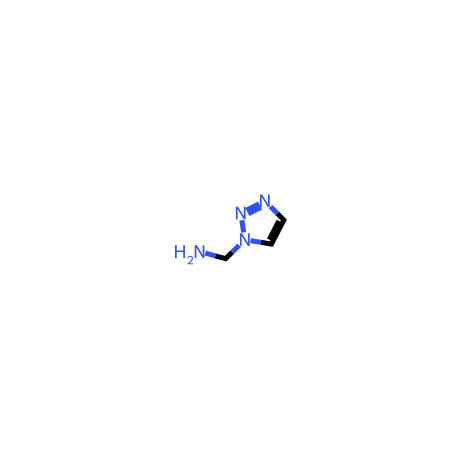 NCn1ccnn1